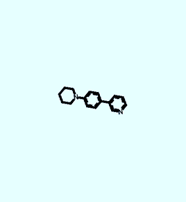 c1cncc(-c2ccc(N3CCCCC3)cc2)c1